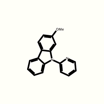 COc1ccc2c3ccccc3n(-c3ccccn3)c2c1